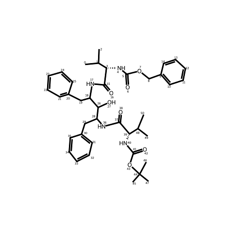 CC(C)[C@H](NC(=O)OCc1ccccc1)C(=O)NC(Cc1ccccc1)C(O)C(Cc1ccccc1)NC(=O)[C@@H](NC(=O)OC(C)(C)C)C(C)C